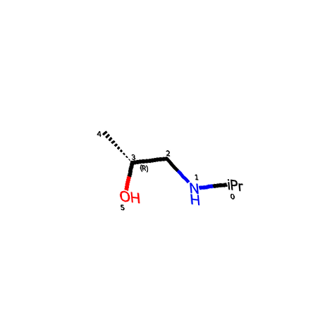 CC(C)NC[C@@H](C)O